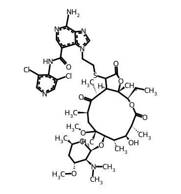 CC[C@H]1OC(=O)[C@H](C)[C@@H](O)[C@H](C)[C@@H](O[C@@H]2O[C@H](C)C[C@@H](OC)[C@@H]2N(C)C)[C@](C)(OC)C[C@@H](C)C(=O)[C@H](C)[C@H]2C(SCCn3cnc4c(N)ncc(C(=O)Nc5c(Cl)cncc5Cl)c43)C(=O)O[C@@]21C